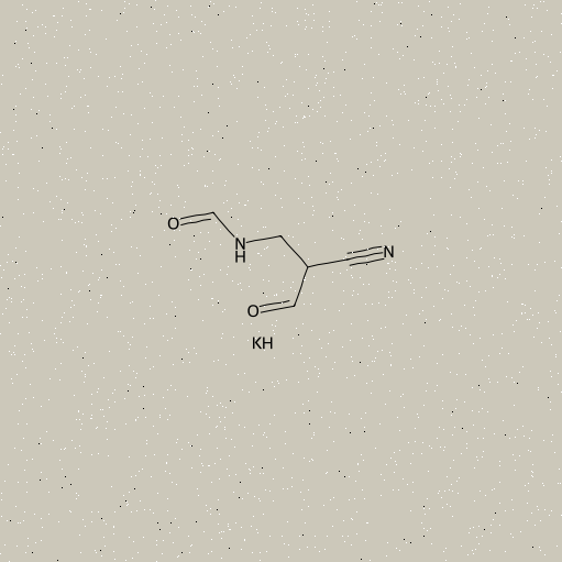 N#CC(C=O)CNC=O.[KH]